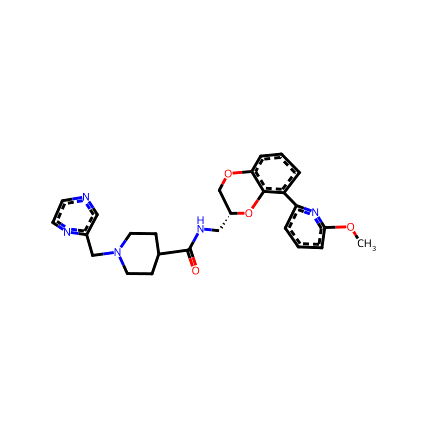 COc1cccc(-c2cccc3c2O[C@H](CNC(=O)C2CCN(Cc4cnccn4)CC2)CO3)n1